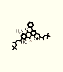 CC(CCc1cc(N)c2c(c1O)C(=S)c1c(O)c(CCC(C)CC(C)(C)C)cc(-c3ccccc3)c1C2=O)CC(C)(C)C